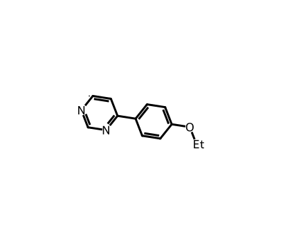 CCOc1ccc(-c2c[c]ncn2)cc1